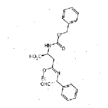 CCOC(C[C@H](NC(=O)OCc1ccccc1)C(=O)O)=N[C@@H](C=O)c1ccccc1